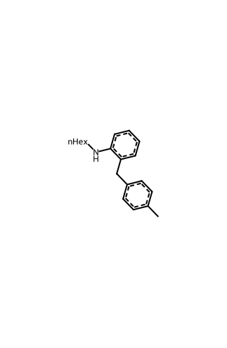 CCCCCCNc1ccccc1Cc1ccc(C)cc1